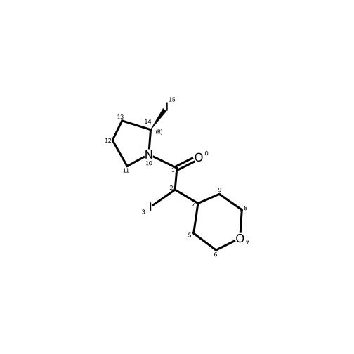 O=C(C(I)C1CCOCC1)N1CCC[C@H]1I